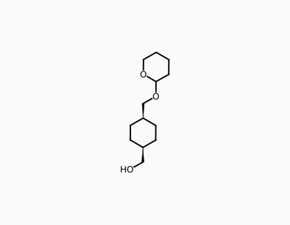 OC[C@H]1CC[C@@H](COC2CCCCO2)CC1